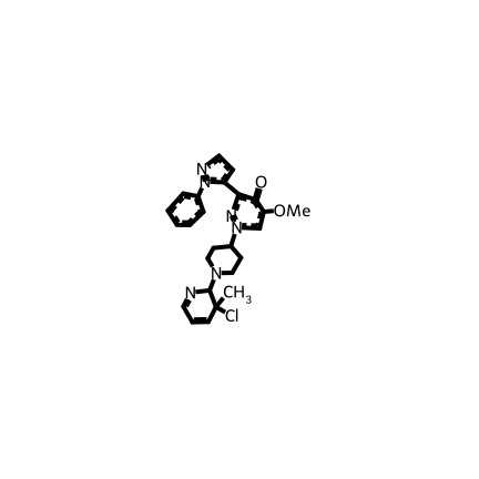 COc1cn(C2CCN(C3N=CC=CC3(C)Cl)CC2)nc(-c2ccnn2-c2ccccc2)c1=O